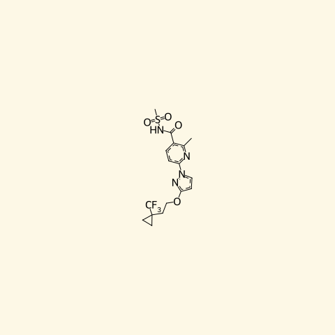 Cc1nc(-n2ccc(OCCC3(C(F)(F)F)CC3)n2)ccc1C(=O)NS(C)(=O)=O